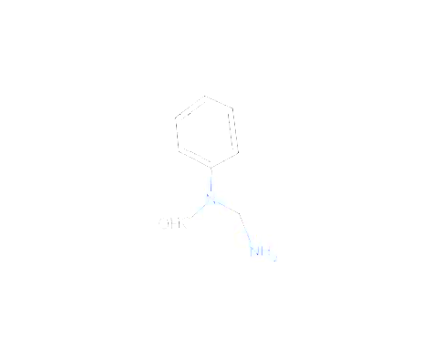 NCN([C]=O)c1ccccc1